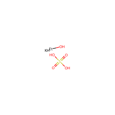 CCO.O=S(=O)(O)O.[KH]